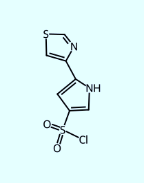 O=S(=O)(Cl)c1c[nH]c(-c2cscn2)c1